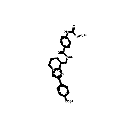 CN(CC1CCCn2cc(-c3ccc(C(=O)O)cc3)nc21)C(=O)c1ccc(NC(=O)OC(C)(C)C)cc1